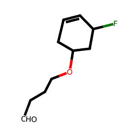 O=CCCCOC1CC=CC(F)C1